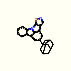 c1ccc2c(c1)c1cc(C34CC5CC(CC(C5)C3)C4)cc3c4cnsc4n2c13